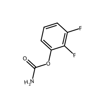 NC(=O)Oc1cccc(F)c1F